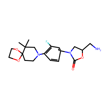 CC1(C)CN(c2ccc(N3CC(CN)OC3=O)cc2F)CCC12OCCO2